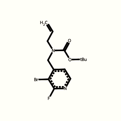 C=CCN(Cc1ccnc(F)c1Br)C(=O)OC(C)(C)C